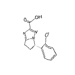 O=C(O)c1nc2n(n1)[C@H](c1ccccc1Cl)CC2